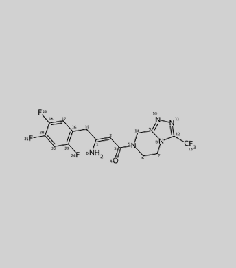 N/C(=C\C(=O)N1CCn2c(nnc2C(F)(F)F)C1)Cc1cc(F)c(F)cc1F